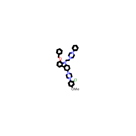 COc1ccc(N2CCN(C3CCc4c(c5cccc(OCc6ccccc6)c5n4CCN4CCN(c5ccccc5)CC4)C3)CC2)c(Cl)c1